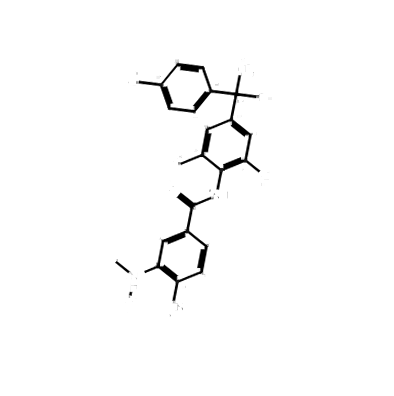 C[NH+]([O-])c1cc(C(=O)Nc2c(Cl)cc(C(F)(c3ccc(Cl)cc3)C(F)(F)F)cc2Cl)ccc1C#N